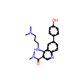 CN(C)CCCNc1c(C(=O)N(C)C)cnc2ccc(-c3ccc(O)cc3)cc12